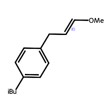 CCC(C)c1ccc(C/C=C/OC)cc1